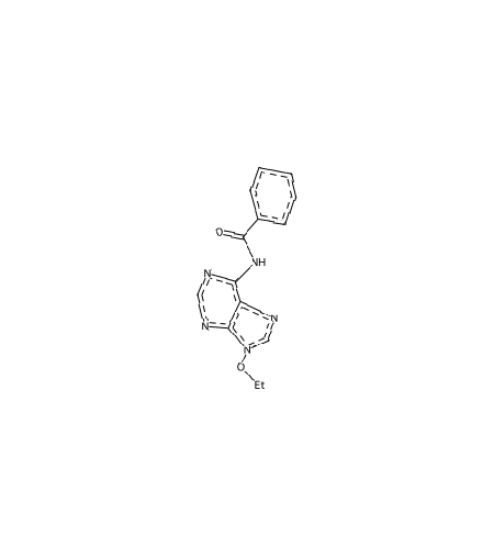 CCOn1cnc2c(NC(=O)c3ccccc3)ncnc21